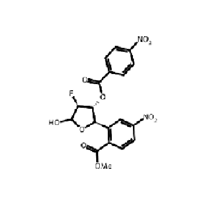 COC(=O)c1ccc([N+](=O)[O-])cc1[C@H]1OC(O)[C@@H](F)[C@@H]1OC(=O)c1ccc([N+](=O)[O-])cc1